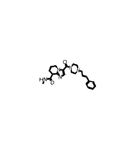 CNC(=O)C1CCCn2c(C(=O)N3CCN(CC=Cc4ccccc4)CC3)[c]nc21